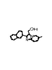 Cc1ccc2nc(-c3ccc4ccccc4c3)c(CO)n2c1